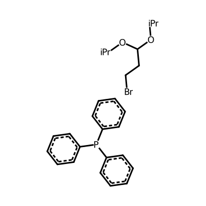 CC(C)OC(CCBr)OC(C)C.c1ccc(P(c2ccccc2)c2ccccc2)cc1